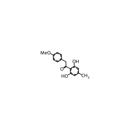 COc1ccc(CC(=O)c2c(O)cc(C)cc2O)cc1